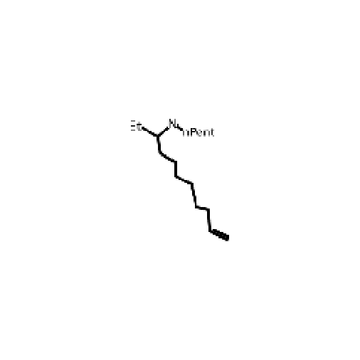 C=CCCCCCCC(CC)[N]CCCCC